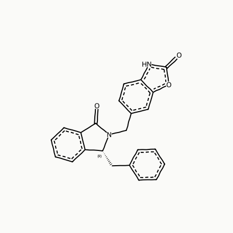 O=C1c2ccccc2[C@@H](Cc2ccccc2)N1Cc1ccc2[nH]c(=O)oc2c1